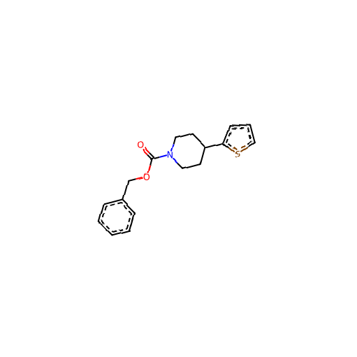 O=C(OCc1ccccc1)N1CCC(c2cccs2)CC1